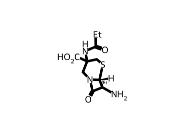 CCC(=O)NC1(C(=O)O)CS[C@@H]2C(N)C(=O)N2C1